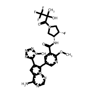 COc1ncc(-c2c(-c3nnnn3C)cc3c(N)ncnn23)cc1C(=O)N[C@@H]1CN(C(=O)C(C)(O)C(F)(F)F)C[C@@H]1F